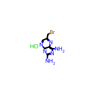 Cl.Nc1nc(N)c2nc(CBr)cnc2n1